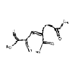 O=C(O)CC(=CC(=O)C(=O)O)C(=O)O